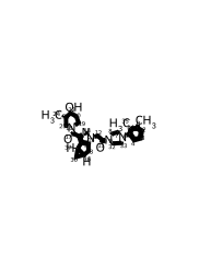 Cc1cccc(N2CCN(C(=O)Cn3nc(C(=O)N4CC[C@H](O)[C@H](C)C4)c4c3C[C@H]3C[C@@H]43)CC2)c1C